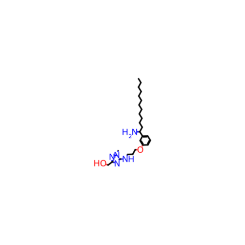 CCCCCCCCCCCCC(N)c1cccc(OCCCNc2nc(CO)nn2C)c1